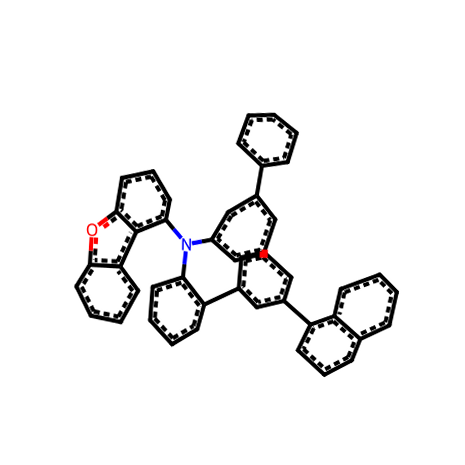 c1ccc(-c2cccc(N(c3ccccc3-c3cccc(-c4cccc5ccccc45)c3)c3cccc4oc5ccccc5c34)c2)cc1